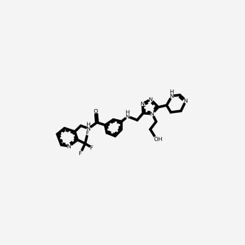 O=C(NCc1cccnc1C(F)(F)F)c1cccc(NCc2nnc(C3CCN=CN3)n2CCO)c1